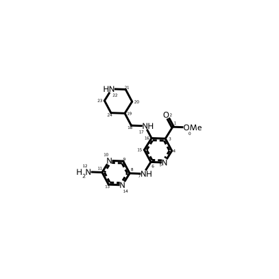 COC(=O)c1cnc(Nc2cnc(N)cn2)cc1NCC1CCNCC1